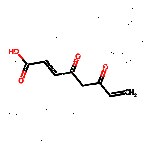 C=CC(=O)CC(=O)/C=C/C(=O)O